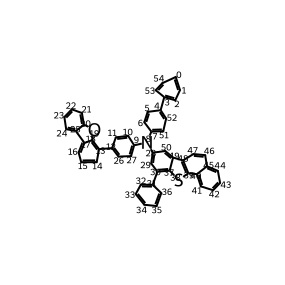 c1ccc(-c2ccc(N(c3ccc(-c4cccc5c4oc4ccccc45)cc3)c3cc(-c4ccccc4)c4sc5c6ccccc6ccc5c4c3)cc2)cc1